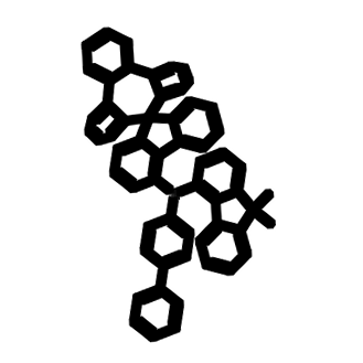 CC1(C)c2ccccc2-c2c(N(c3ccc(-c4ccccc4)cc3)c3cccc4c3-c3ccccc3C43c4ccccc4-c4ccccc4-c4ccccc43)cccc21